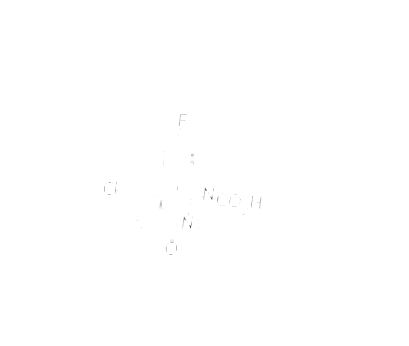 CN(C(=O)O)c1c(-c2ccc(F)cc2)c2cc(Cl)ccc2c(=O)n1C